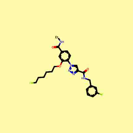 CCNC(=O)c1ccc(-n2cc(C(=O)NCc3cccc(F)c3)nn2)c(OCCCCCCF)c1